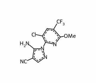 COc1nc(-n2ncc(C#N)c2N)c(Cl)cc1C(F)(F)F